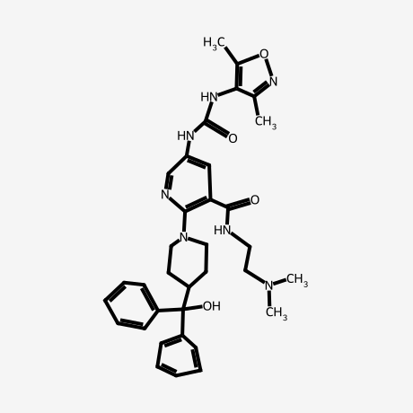 Cc1noc(C)c1NC(=O)Nc1cnc(N2CCC(C(O)(c3ccccc3)c3ccccc3)CC2)c(C(=O)NCCN(C)C)c1